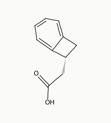 O=C(O)C[C@H]1Cc2ccccc21